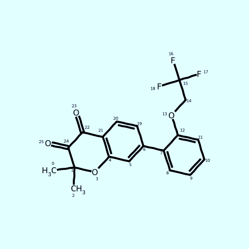 CC1(C)Oc2cc(-c3ccccc3OCC(F)(F)F)ccc2C(=O)C1=O